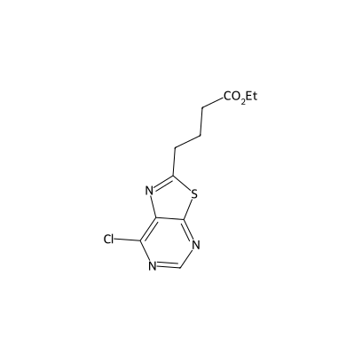 CCOC(=O)CCCc1nc2c(Cl)ncnc2s1